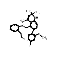 CCCc1ccccc1OCc1c(-c2ccc(F)cc2OC)ccc2c1C(C)=CC(C)(C)N2